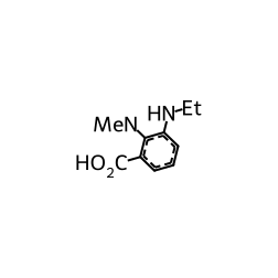 CCNc1cccc(C(=O)O)c1NC